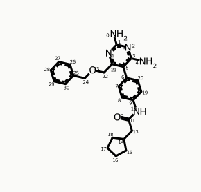 Nc1nc(N)c(-c2ccc(NC(=O)CC3CCCC3)cc2)c(COCc2ccccc2)n1